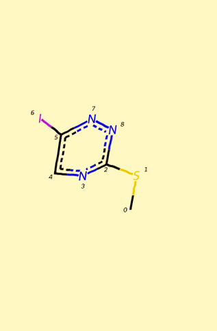 CSc1ncc(I)nn1